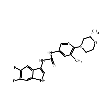 Cc1cc(NC(=O)Nc2c[nH]c3cc(F)c(F)cc23)cnc1N1CCO[C@@H](C)C1